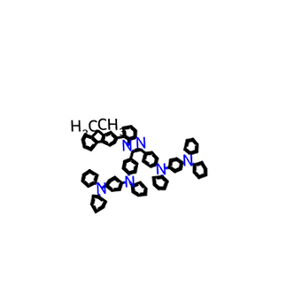 CC1(C)c2ccccc2-c2ccc(-c3cccc4nc(-c5ccc(N(c6ccccc6)c6ccc(N(c7ccccc7)c7ccccc7)cc6)cc5)c(-c5ccc(N(c6ccccc6)c6ccc(N(c7ccccc7)c7ccccc7)cc6)cc5)nc34)cc21